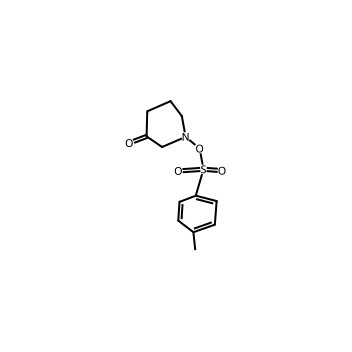 Cc1ccc(S(=O)(=O)ON2CCCC(=O)C2)cc1